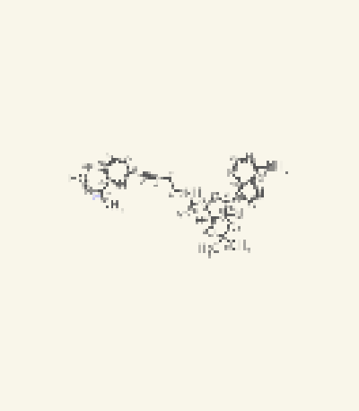 CC1(C)O[C@@H]2[C@H](O1)[C@@H](C(=O)NCCC#Cc1ccc(F)c(/C(N)=N\O)n1)O[C@H]2n1cnc2c(N)ncnc21